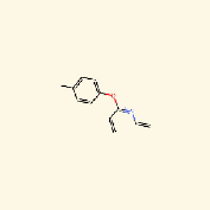 C=C/N=C(\C=C)Oc1ccc(C)cc1